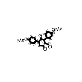 COc1ccc(C(CCCl)C(=O)C(CCCl)c2ccc(OC)cc2)cc1